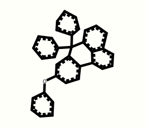 c1ccc(Oc2ccc3c(c2)C(c2ccccc2)(c2ccccc2)c2cccc4cccc-3c24)cc1